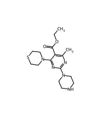 CCOC(=O)c1c(C)nc(N2CCNCC2)nc1N1CCSCC1